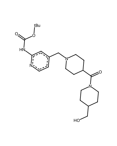 CC(C)(C)OC(=O)Nc1cc(CN2CCC(C(=O)N3CCC(CO)CC3)CC2)ccn1